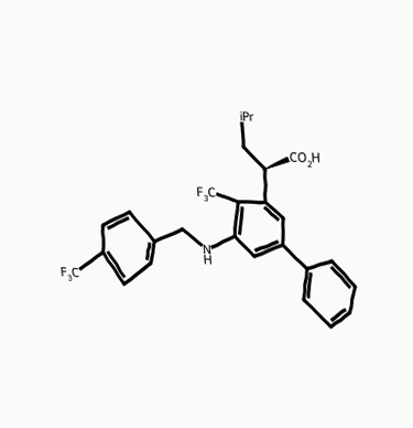 CC(C)C[C@@H](C(=O)O)c1cc(-c2ccccc2)cc(NCc2ccc(C(F)(F)F)cc2)c1C(F)(F)F